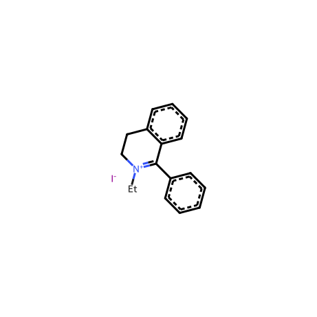 CC[N+]1=C(c2ccccc2)c2ccccc2CC1.[I-]